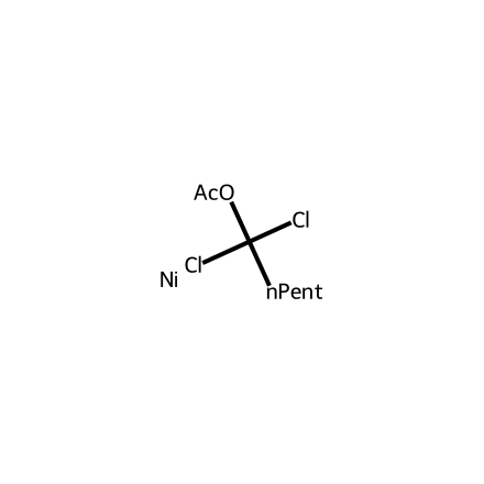 CCCCCC(Cl)(Cl)OC(C)=O.[Ni]